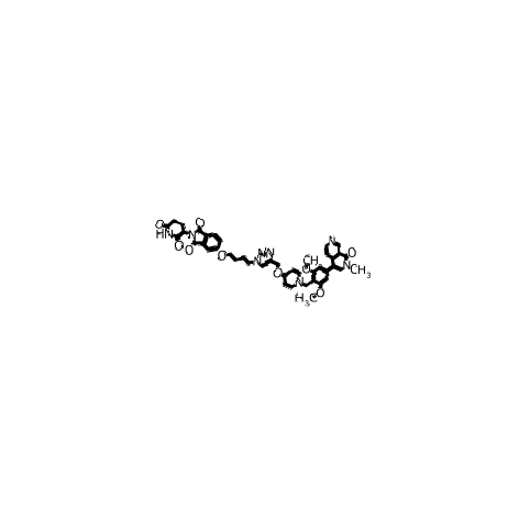 COc1cc(-c2cn(C)c(=O)c3cnccc23)cc(OC)c1CN1CCC(OCc2cn(CCCCOc3ccc4c(c3)C(=O)N(C3CCC(=O)NC3=O)C4=O)nn2)CC1